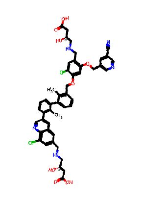 Cc1c(COc2cc(OCc3cncc(C#N)c3)c(CNC[C@@H](O)CC(=O)O)cc2Cl)cccc1-c1cccc(-c2cnc3c(Cl)cc(CNC[C@@H](O)CC(=O)O)cc3c2)c1C